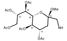 CO[C@@]1(C[NH])C[C@H](OC(C)=O)[C@@H](OC(C)=O)[C@H]([C@H](OC(C)=O)[C@H](COC(C)=O)OC(C)=O)O1